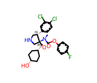 CN(C(=O)Oc1ccc(F)cc1)[C@@]1(C(=O)[C@H]2CC[C@@H](O)CC2)CNC[C@@H]1c1ccc(Cl)c(Cl)c1